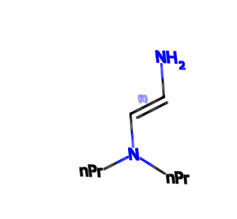 CCCN(/C=C/N)CCC